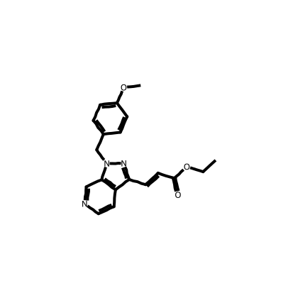 CCOC(=O)/C=C/c1nn(Cc2ccc(OC)cc2)c2cnccc12